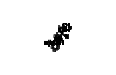 CC1=CSC(=C(C#N)c2ccnc(NC3(C)CCCCC3C)n2)N1